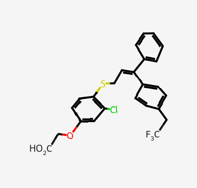 O=C(O)COc1ccc(SCC=C(c2ccccc2)c2ccc(CC(F)(F)F)cc2)c(Cl)c1